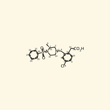 C[C@H]1CN(Cc2cc(Cl)ccc2CC(=O)O)CCN1S(=O)(=O)c1ccccc1